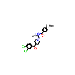 COc1ccc(C(=O)NC(CN2CCC(C(=O)c3ccc(Cl)c(Cl)c3)CC2)C(C)C)cc1